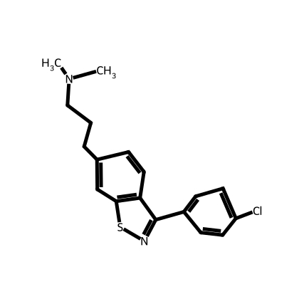 CN(C)CCCc1ccc2c(-c3ccc(Cl)cc3)nsc2c1